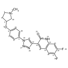 CN1CCC(Oc2ccc(-n3cc(-c4cc5cc(F)c(F)cc5[nH]c4=O)nn3)cc2)C1